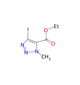 CCOC(=O)c1c(I)nnn1C